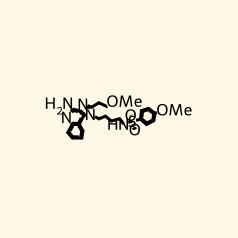 COCCc1nc2c(N)nc3ccccc3c2n1CCCCNS(=O)(=O)c1ccc(OC)cc1